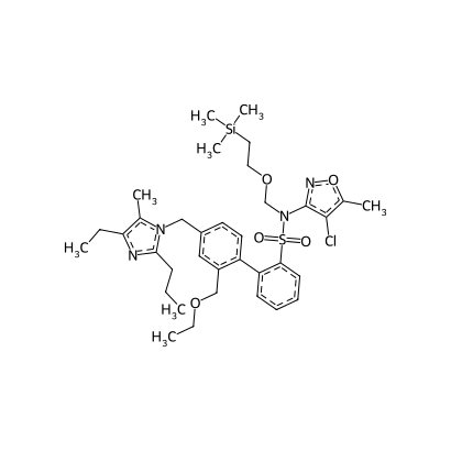 CCCc1nc(CC)c(C)n1Cc1ccc(-c2ccccc2S(=O)(=O)N(COCC[Si](C)(C)C)c2noc(C)c2Cl)c(COCC)c1